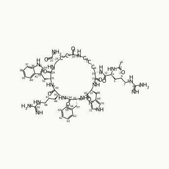 CC(=O)N[C@@H](CCCNC(=N)N)C(=O)N[C@H]1CCCNC(=O)CC[C@@H](C(N)=O)NC(=O)[C@H](Cc2c[nH]c3ccccc23)NC(=O)[C@H](CCCNC(=N)N)NC(=O)[C@@H](Cc2ccccc2)NC(=O)[C@H](Cc2c[nH]cn2)NC1=O